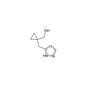 OCC1(Cc2ccn[nH]2)CC1